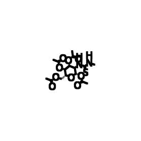 CNC(=S)N[C@H]1[C@H](OC(C)=O)O[C@H](COC(C)=O)[C@@H](OC(C)=O)[C@@H]1OC(C)=O